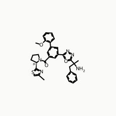 COc1ccccc1-c1cc(C(=O)N2CCC[C@@H]2c2nc(C)cs2)cc(-c2nnc(C(C)(N)Cc3ccccc3)o2)c1